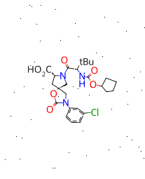 CC(C)(C)C(NC(=O)OC1CCCC1)C(=O)N1C[C@@]2(C[C@H]1C(=O)O)CN(c1cccc(Cl)c1)C(=O)O2